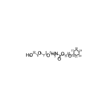 O=C(NCCOCCOCCO)OCCOc1cc[c]cc1